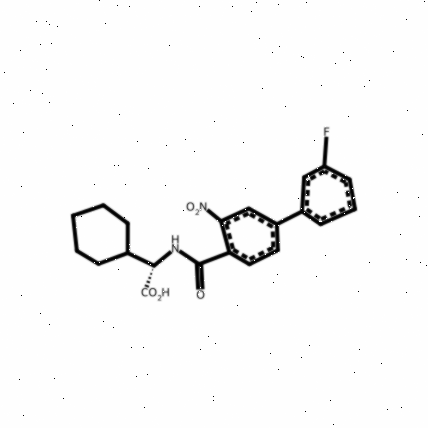 O=C(N[C@H](C(=O)O)C1CCCCC1)c1ccc(-c2cccc(F)c2)cc1[N+](=O)[O-]